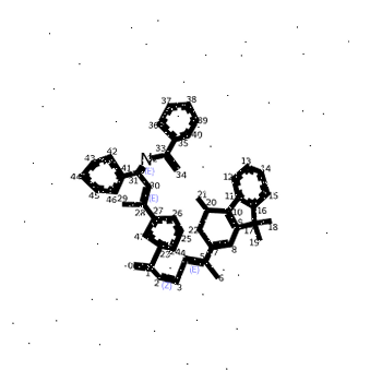 C=C(/C=C\C=C(/C)C1=CC2=C(c3ccccc3C2(C)C)C(C)C1)c1cccc(/C(C)=C/C(=N\C(=C)c2ccccc2)c2ccccc2)c1